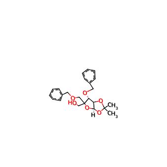 CC1(C)OC2[C@@H](O1)OC(CO)(COCc1ccccc1)[C@@H]2OCc1ccccc1